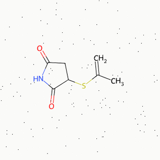 C=C(C)SC1CC(=O)NC1=O